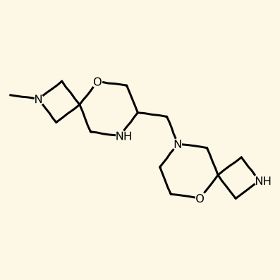 CN1CC2(CNC(CN3CCOC4(CNC4)C3)CO2)C1